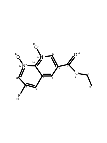 CCOC(=O)c1cc2cc(F)c[n+]([O-])c2[n+]([O-])c1